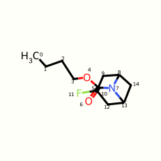 CCCCOC(=O)N1C2CC(F)CC1C2